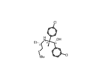 CC[C@@H](CSC(C)(C)C)N[C@](C)(c1ccc(Cl)cc1)[C@H](O)c1cccc(Cl)c1